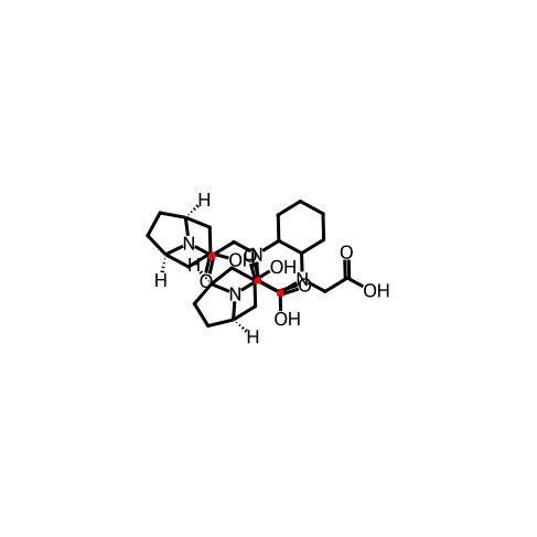 O=C(O)CN(CC(=O)N1[C@@H]2CC[C@H]1CC(O)C2)C1CCCCC1N(CC(=O)O)CC(=O)N1[C@@H]2CC[C@H]1CC(O)C2